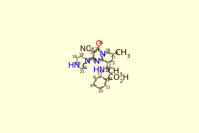 Cc1cc([C@@H](C)Nc2ccccc2C(=O)O)c2nc(N3CCNCC3)c(C#N)c(=O)n2c1